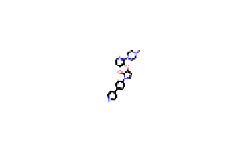 CN1CCN(c2ncccc2OC2CCN(c3ccc(-c4ccncc4)cc3)C2=O)CC1